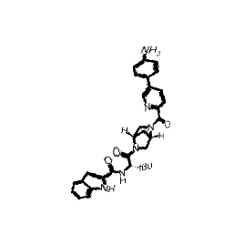 CC(C)(C)[C@H](NC(=O)c1cc2ccccc2[nH]1)C(=O)N1C[C@@H]2C[C@H]1CN2C(=O)c1ccc(-c2ccc(N)cc2)cn1